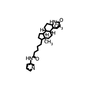 C[C@]12C=CC(=O)NC1CC[C@@H]1[C@H]2CC[C@]2(C)C(CCCCC(=O)Nc3cccnc3)CC[C@@H]12